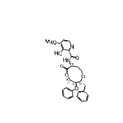 COc1ccnc(C(=O)N[C@H]2CCO[C@H](Cc3ccccc3)[C@@H](Oc3ccccc3)[C@H](C)OC2=O)c1O